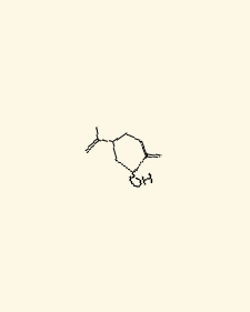 C=C(C)C1CCC(=C)[C@@H](O)C1